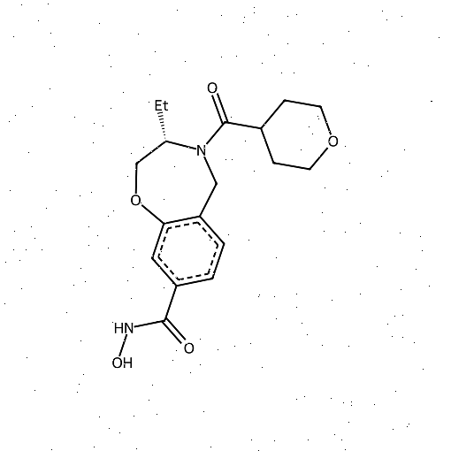 CC[C@H]1COc2cc(C(=O)NO)ccc2CN1C(=O)C1CCOCC1